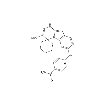 COC1=NNc2cc3cnc(Nc4ccc([S+](N)[O-])cc4)nc3n2C12CCCCC2